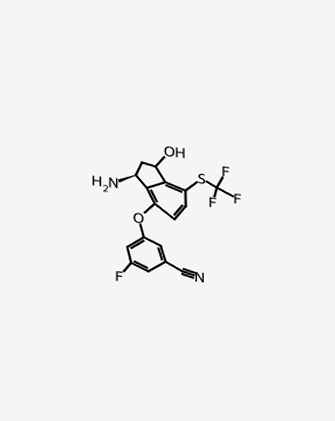 N#Cc1cc(F)cc(Oc2ccc(SC(F)(F)F)c3c2[C@@H](N)CC3O)c1